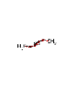 CCCCCCCCc1ccc(C#Cc2ccc3c(c2)oc2c3ccc3c2ccc2c4ccc(C#Cc5ccc(CCCCCCCC)cc5)cc4sc23)cc1